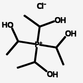 CC(O)[P+](C(C)O)(C(C)O)C(C)O.[Cl-]